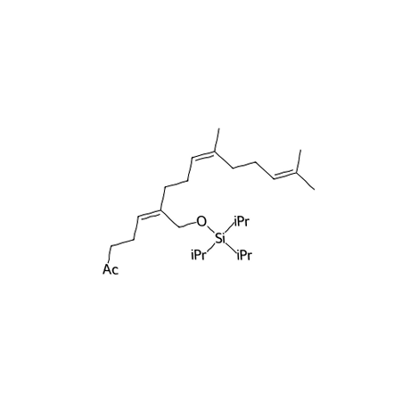 CC(=O)CCC=C(CCC=C(C)CCC=C(C)C)CO[Si](C(C)C)(C(C)C)C(C)C